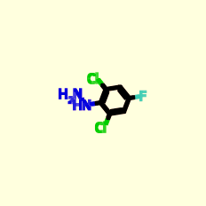 NNc1c(Cl)cc(F)cc1Cl